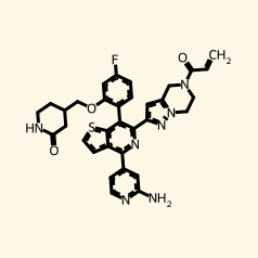 C=CC(=O)N1CCn2nc(-c3nc(-c4ccnc(N)c4)c4ccsc4c3-c3ccc(F)cc3OCC3CCNC(=O)C3)cc2C1